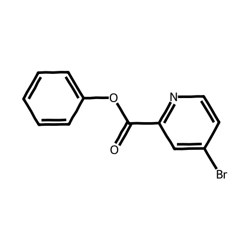 O=C(Oc1ccccc1)c1cc(Br)ccn1